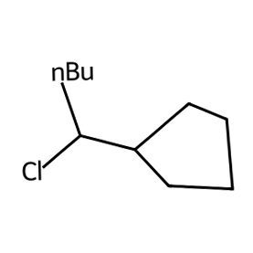 [CH2]CCCC(Cl)C1CCCC1